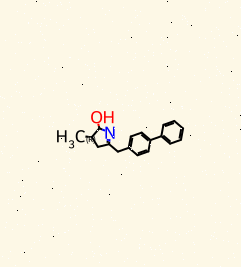 C[C@@H]1CC(Cc2ccc(-c3ccccc3)cc2)=NC1O